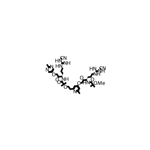 COC(C)(C)C(=O)N[C@@H](CCCNC(=N)NC#N)C(=O)COc1cc(C)nc(CCOC(C)(C)C(=O)N[C@@H](CCCNC(=N)NC#N)C(=O)COc2cnc(C)nc2)c1